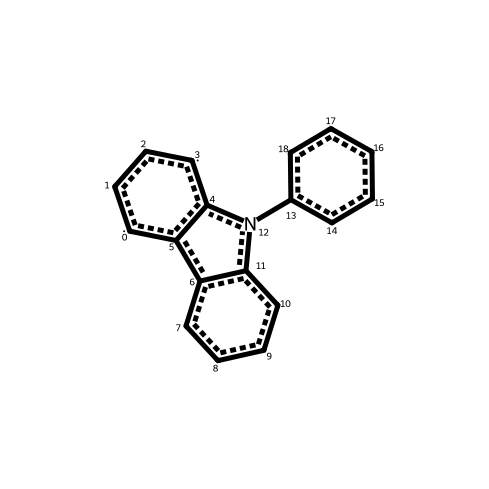 [c]1cc[c]c2c1c1ccccc1n2-c1ccccc1